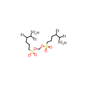 CCC(CCCS(=O)(=O)OCOS(=O)(=O)CCCC(CC)C(CC)S(=O)(=O)O)C(CC)S(=O)(=O)O